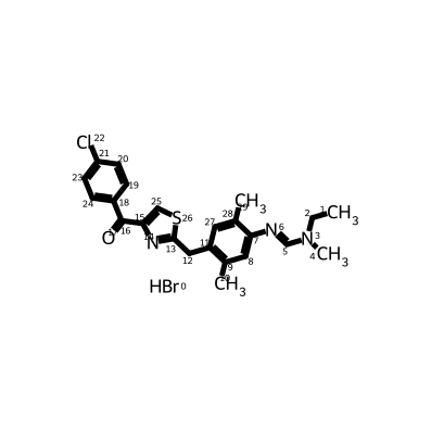 Br.CCN(C)C=Nc1cc(C)c(Cc2nc(C(=O)c3ccc(Cl)cc3)cs2)cc1C